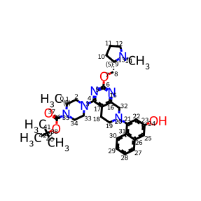 C[C@@H]1CN(c2nc(OC[C@@H]3CCCN3C)nc3c2CCN(c2cc(O)cc4ccccc24)C3)CCN1C(=O)OC(C)(C)C